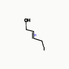 OC/C=C/CI